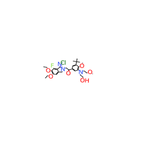 CCOc1cc2c(c(F)c1OCC)/C(=N/Cl)N(CC(=O)c1cc(N(CCO)CCOC)c(OC)c(C(C)(C)C)c1)C2